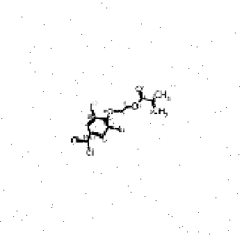 C=C(C)C(=O)OCCOc1c(I)cc(C(=O)Cl)cc1I